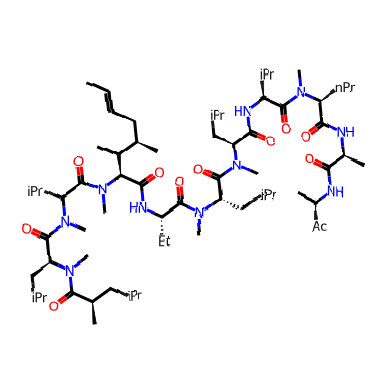 C/C=C/C[C@@H](C)C(C)[C@@H](C(=O)N[C@@H](CC)C(=O)N(C)[C@@H](CC(C)C)C(=O)N(C)[C@@H](CC(C)C)C(=O)N[C@H](C(=O)N(C)[C@@H](CCC)C(=O)N[C@@H](C)C(=O)N[C@H](C)C(C)=O)C(C)C)N(C)C(=O)C(C(C)C)N(C)C(=O)[C@H](CC(C)C)N(C)C(=O)[C@H](C)CC(C)C